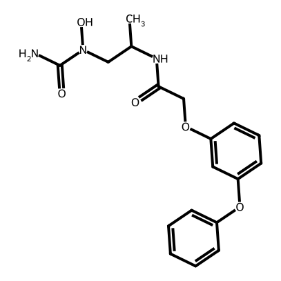 CC(CN(O)C(N)=O)NC(=O)COc1cccc(Oc2ccccc2)c1